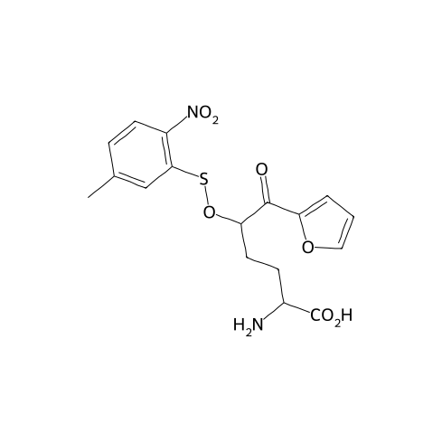 Cc1ccc([N+](=O)[O-])c(SOC(CCC(N)C(=O)O)C(=O)c2ccco2)c1